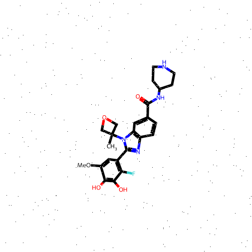 COc1cc(-c2nc3ccc(C(=O)NC4CCNCC4)cc3n2C2(C)COC2)c(F)c(O)c1O